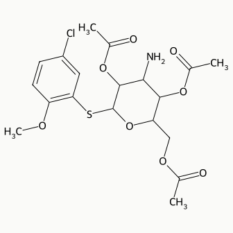 COc1ccc(Cl)cc1SC1OC(COC(C)=O)C(OC(C)=O)C(N)C1OC(C)=O